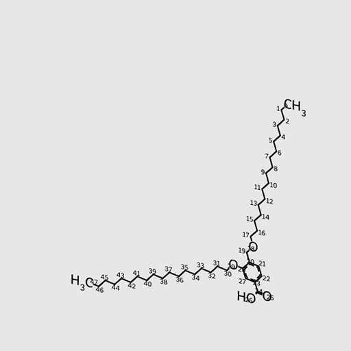 CCCCCCCCCCCCCCCCCCOCc1ccc(C(=O)O)cc1OCCCCCCCCCCCCCCCCCC